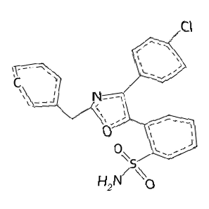 NS(=O)(=O)c1ccccc1-c1oc(Cc2ccccc2)nc1-c1ccc(Cl)cc1